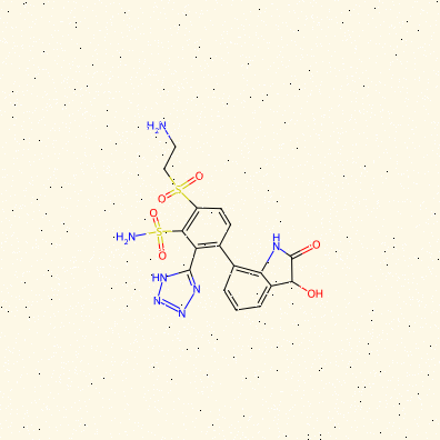 NCCS(=O)(=O)c1ccc(-c2cccc3c2NC(=O)C3O)c(-c2nnn[nH]2)c1S(N)(=O)=O